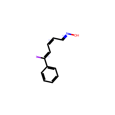 O/N=C/C=C\C=C(/I)c1ccccc1